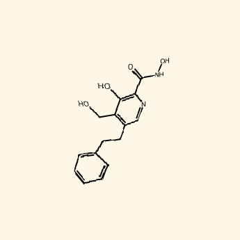 O=C(NO)c1ncc(CCc2ccccc2)c(CO)c1O